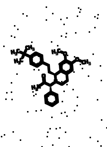 COc1cc2c(cc1OC)[C@H](CCc1ccc(C(C)(C)C)cc1)N([C@@H](C(N)=O)c1ccccc1)CC2